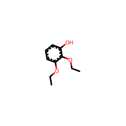 CCOc1cccc(O)c1OCC